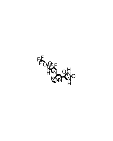 O=C(NC1CN(c2cc(-c3c[nH]c(=O)[nH]c3=O)nn3ccnc23)CC1(F)F)OCC(F)(F)F